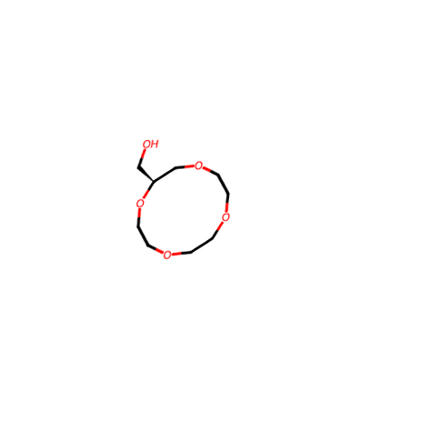 OC[C@H]1COCCOCCOCCO1